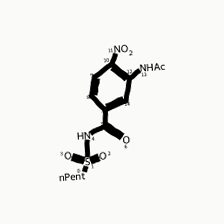 CCCCCS(=O)(=O)NC(=O)c1ccc([N+](=O)[O-])c(NC(C)=O)c1